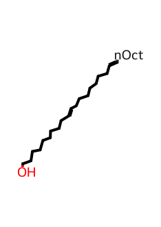 CCCCCCCCC=CCCCCCCCC=CCCCCCCCCCO